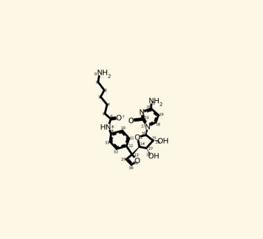 NCCCCCC(=O)Nc1ccc(C2([C@H]3O[C@@H](n4ccc(N)nc4=O)[C@H](O)[C@@H]3O)C=CO2)cc1